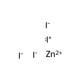 [I+].[I-].[I-].[I-].[Zn+2]